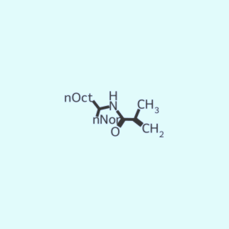 C=C(C)C(=O)NC(CCCCCCCC)CCCCCCCCC